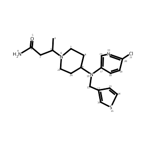 CC(CC(N)=O)N1CCC(N(Cc2ccsc2)c2ccc(Cl)nc2)CC1